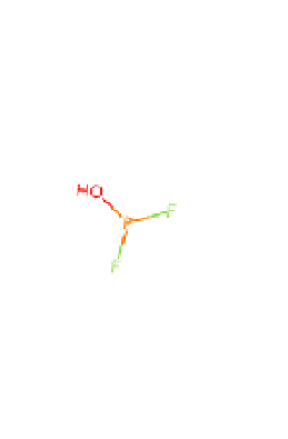 OP(F)F